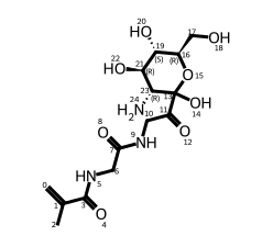 C=C(C)C(=O)NCC(=O)NCC(=O)C1(O)O[C@H](CO)[C@@H](O)[C@H](O)[C@H]1N